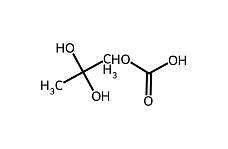 CC(C)(O)O.O=C(O)O